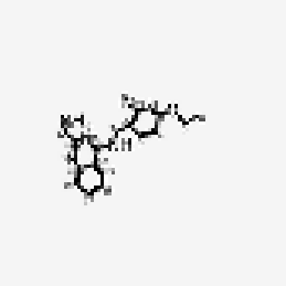 CCOc1ccc(CNc2nc(CN)nc3ccccc23)c(F)c1